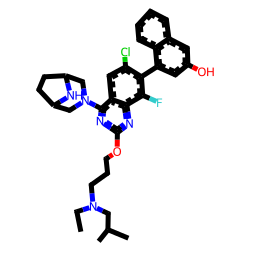 CCN(CCCOc1nc(N2CC3CCC(C2)N3)c2cc(Cl)c(-c3cc(O)cc4ccccc34)c(F)c2n1)CC(C)C